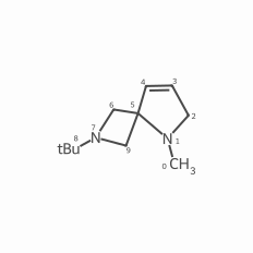 CN1CC=CC12CN(C(C)(C)C)C2